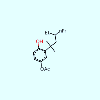 CCCC(CC)CC(C)(C)c1cc(OC(C)=O)ccc1O